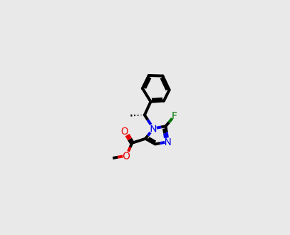 COC(=O)c1cnc(F)n1[C@H](C)c1ccccc1